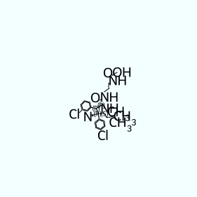 CC(C)(C)C[C@@H]1N[C@@H](C(=O)NCCCNC(=O)O)[C@H](c2cccc(Cl)c2)[C@@]1(C#N)c1ccc(Cl)cc1